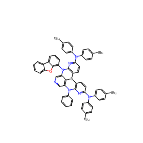 CC(C)(C)c1ccc(N(c2ccc(C(C)(C)C)cc2)c2ccc3c(n2)N(c2ccccc2)c2cncc4c2B3c2ccc(N(c3ccc(C(C)(C)C)cc3)c3ccc(C(C)(C)C)cc3)nc2N4c2cccc3c2oc2ccccc23)cc1